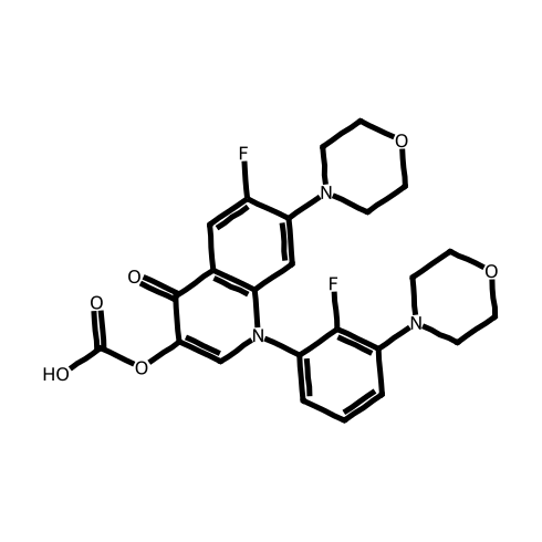 O=C(O)Oc1cn(-c2cccc(N3CCOCC3)c2F)c2cc(N3CCOCC3)c(F)cc2c1=O